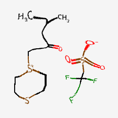 CC(C)C(=O)C[S+]1CCSCC1.O=S(=O)([O-])C(F)(F)F